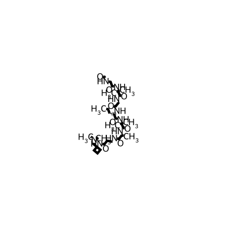 CCC[C@H](NC(=O)CNC(=O)C(C)(C)NC(=O)CNC=O)C(=O)NC(C)(C)C(=O)NC(C)C(=O)NCCC(=O)NC1(CN(C)C)CCC1